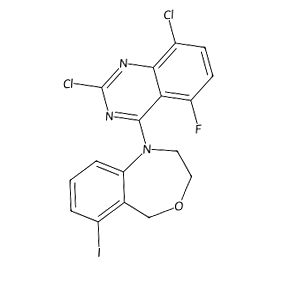 Fc1ccc(Cl)c2nc(Cl)nc(N3CCOCc4c(I)cccc43)c12